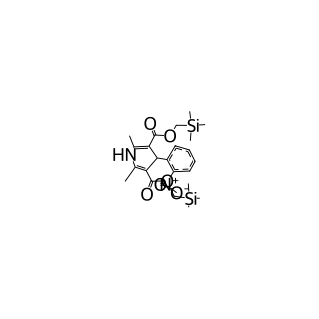 CC1=C(C(=O)OC[Si](C)(C)C)C(c2ccccc2[N+](=O)[O-])C(C(=O)OC[Si](C)(C)C)=C(C)N1